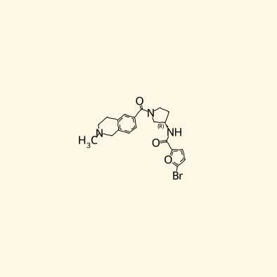 CN1CCc2cc(C(=O)N3CC[C@@H](NC(=O)c4ccc(Br)o4)C3)ccc2C1